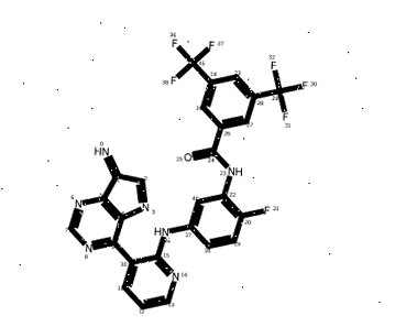 N=C1C=Nc2c1ncnc2-c1cccnc1Nc1ccc(F)c(NC(=O)c2cc(C(F)(F)F)cc(C(F)(F)F)c2)c1